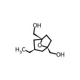 CC[C@H]1C[C@]2(CO)CC[C@](CO)(C1)O2